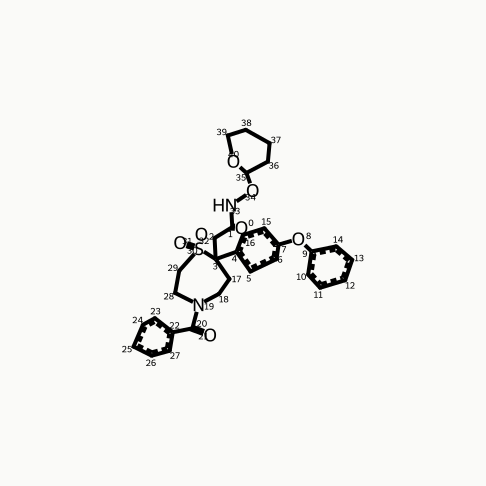 O=C(CC1(c2ccc(Oc3ccccc3)cc2)CCN(C(=O)c2ccccc2)CCS1(=O)=O)NOC1CCCCO1